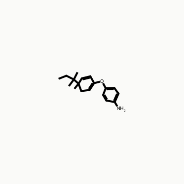 CCC(C)(C)C1(C)C=CC(Oc2ccc(N)cc2)=CC1